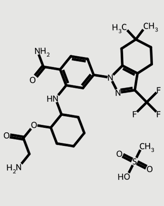 CC1(C)CCc2c(C(F)(F)F)nn(-c3ccc(C(N)=O)c(NC4CCCCC4OC(=O)CN)c3)c2C1.CS(=O)(=O)O